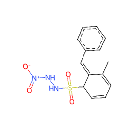 CC1=CC=CC(S(=O)(=O)NN[N+](=O)[O-])/C1=C/c1ccccc1